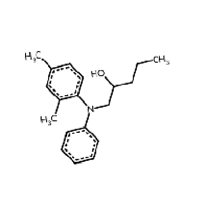 CCCC(O)CN(c1ccccc1)c1ccc(C)cc1C